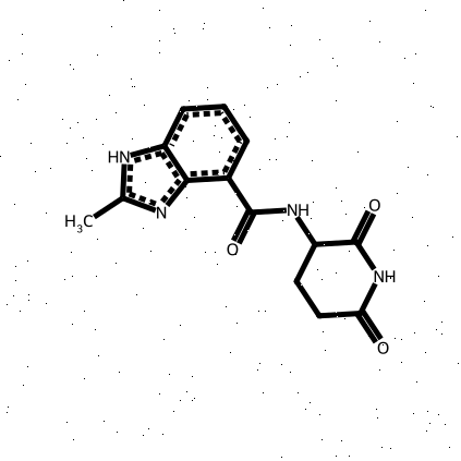 Cc1nc2c(C(=O)NC3CCC(=O)NC3=O)cccc2[nH]1